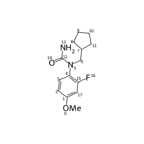 COc1ccc(N(CC2CCCC2)C(N)=O)c(F)c1